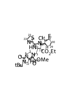 CCOC(=O)C1=C(CN2CCN3C(=O)N(C(C)(C)C)C[C@H]3[C@@H]2C(=O)OC)NC(c2nccs2)=N[C@H]1c1cccc(F)c1Cl